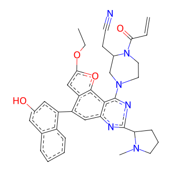 C=CC(=O)N1CCN(c2nc(C3CCCN3C)nc3cc(-c4cc(O)cc5ccccc45)c4cc(OCC)oc4c23)CC1CC#N